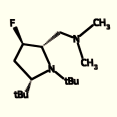 CN(C)C[C@H]1[C@H](F)C[C@@H](C(C)(C)C)N1C(C)(C)C